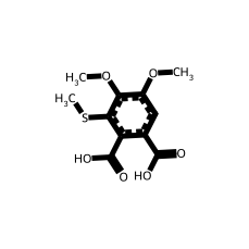 COc1cc(C(=O)O)c(C(=O)O)c(SC)c1OC